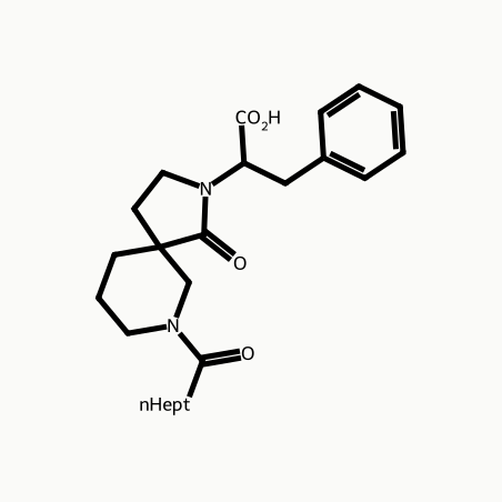 CCCCCCCC(=O)N1CCCC2(CCN(C(Cc3ccccc3)C(=O)O)C2=O)C1